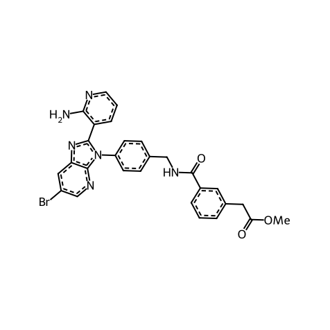 COC(=O)Cc1cccc(C(=O)NCc2ccc(-n3c(-c4cccnc4N)nc4cc(Br)cnc43)cc2)c1